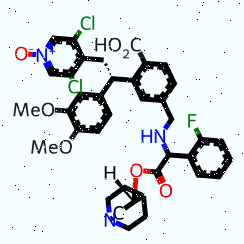 COc1ccc([C@H](Cc2c(Cl)c[n+]([O-])cc2Cl)c2cc(CNC(C(=O)O[C@H]3CN4CCC3CC4)c3ccccc3F)ccc2C(=O)O)cc1OC